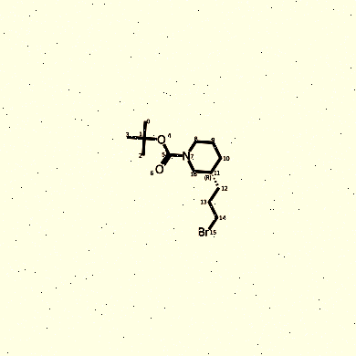 CC(C)(C)OC(=O)N1CCC[C@H](CCCBr)C1